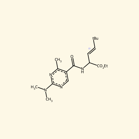 CCOC(=O)C(/C=C/C(C)(C)C)NC(=O)c1cnc(N(C)C)nc1C